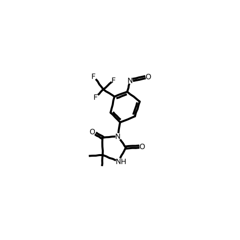 CC1(C)NC(=O)N(c2ccc(N=O)c(C(F)(F)F)c2)C1=O